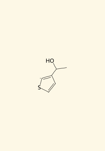 CC(O)c1[c]scc1